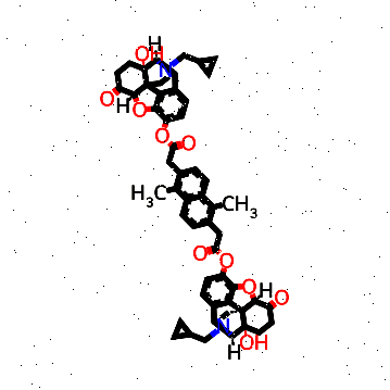 Cc1c(CC(=O)Oc2ccc3c4c2O[C@H]2C(=O)CC[C@@]5(O)[C@@H](C3)N(CC3CC3)CCC425)ccc2c(C)c(CC(=O)Oc3ccc4c5c3O[C@H]3C(=O)CC[C@@]6(O)[C@@H](C4)N(CC4CC4)CC[C@]536)ccc12